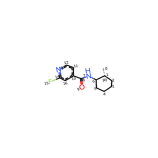 C[C@@H]1CCCCC1NC(=O)c1ccnc(F)c1